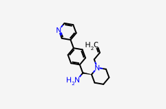 C=CCN1CCCC[C@H]1C(N)c1ccc(-c2cccnc2)cc1